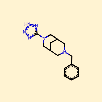 c1ccc(CN2CC3CC(C2)CN(c2nn[nH]n2)C3)cc1